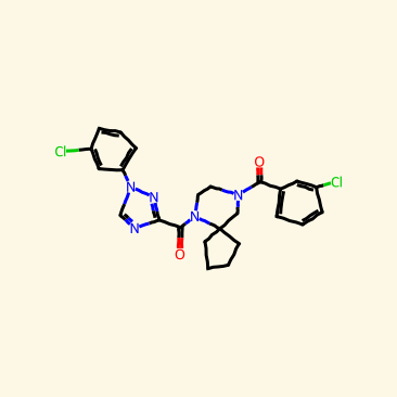 O=C(c1cccc(Cl)c1)N1CCN(C(=O)c2ncn(-c3cccc(Cl)c3)n2)C2(CCCC2)C1